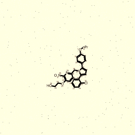 CCCOc1ccc(-c2ccc(-c3ccccc3Cl)n2Cc2ccc(OCCO)c([N+](=O)[O-])n2)cc1